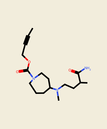 CC#CCOC(=O)N1CCCC(N(C)CCC(C)C(N)=O)CC1